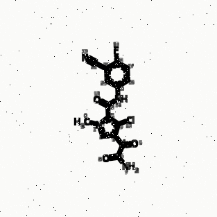 Cn1cc(C(=O)C(N)=O)c(Cl)c1C(=O)Nc1ccc(F)c(C#N)c1